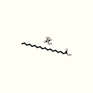 CCCCCCCCCCCCCCCCCC(=O)O.O=S(=O)(O)O